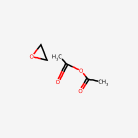 C1CO1.CC(=O)OC(C)=O